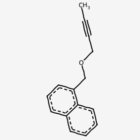 CC#CCOCc1cccc2ccccc12